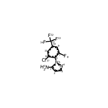 Nc1ccnn1-c1c(F)cc(C(F)(F)F)cc1Cl